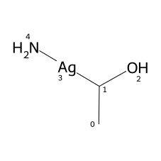 C[CH](O)[Ag][NH2]